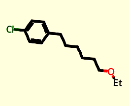 [CH2]COCCCCCCc1ccc(Cl)cc1